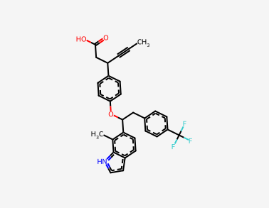 CC#CC(CC(=O)O)c1ccc(OC(Cc2ccc(C(F)(F)F)cc2)c2ccc3cc[nH]c3c2C)cc1